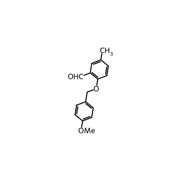 COc1ccc(COc2ccc(C)cc2C=O)cc1